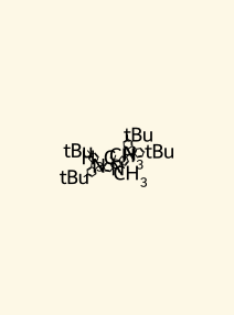 CN1c2ccc(-n3c4ccc(C(C)(C)C)cc4c4cc(C(C)(C)C)ccc43)cc2C(C)(C)c2cc(-n3c4ccc(C(C)(C)C)cc4c4cc(C(C)(C)C)ccc43)ccc21